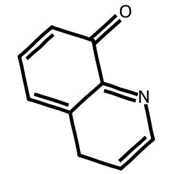 O=C1C=CC=C2CC=CN=C12